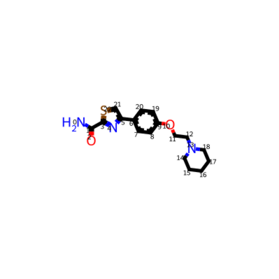 NC(=O)c1nc(-c2ccc(OCCN3CCCCC3)cc2)cs1